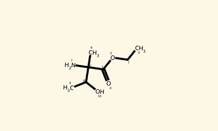 CCOC(=O)C(C)(N)C(C)O